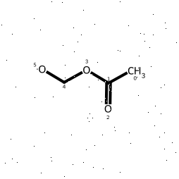 CC(=O)OC[O]